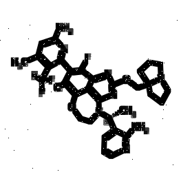 Cc1cc(N)nc(-c2c(Cl)c3c4c(nc(OCC56CCCN5CCC6)nc4c2F)N([C@H](C)c2cccnc2N)CCO3)c1C(F)(F)F